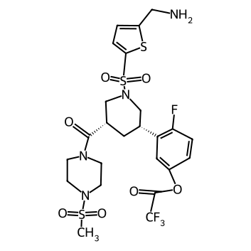 CS(=O)(=O)N1CCN(C(=O)[C@H]2C[C@@H](c3cc(OC(=O)C(F)(F)F)ccc3F)CN(S(=O)(=O)c3ccc(CN)s3)C2)CC1